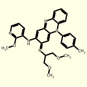 COCC(COC)/N=c1\cc2n(-c3ccc(C)cc3)c3ccccc3nc-2cc1Nc1cccnc1OC